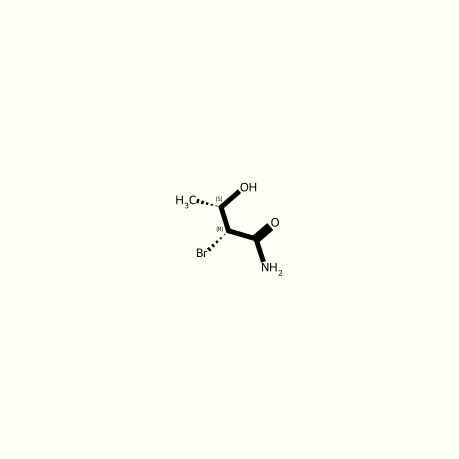 C[C@H](O)[C@@H](Br)C(N)=O